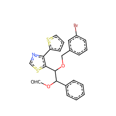 O=COC(c1ccccc1)C(OCc1cccc(Br)c1)c1scnc1-c1cccs1